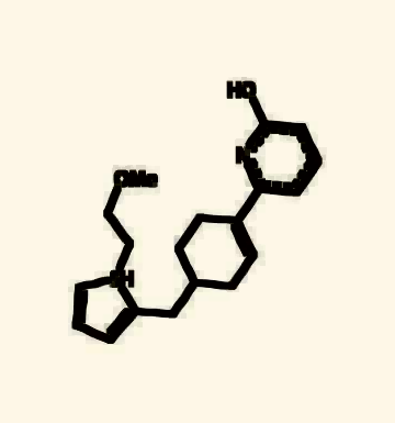 COCC[SH]1C=CC=C1CC1CC=C(c2cccc(O)n2)CC1